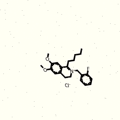 CCCCCC1=[N+](Cc2ccccc2F)CCc2cc(OC)c(OC)cc21.[Cl-]